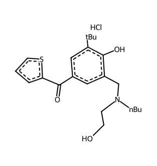 CCCCN(CCO)Cc1cc(C(=O)c2cccs2)cc(C(C)(C)C)c1O.Cl